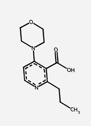 CCCc1nccc(N2CCOCC2)c1C(=O)O